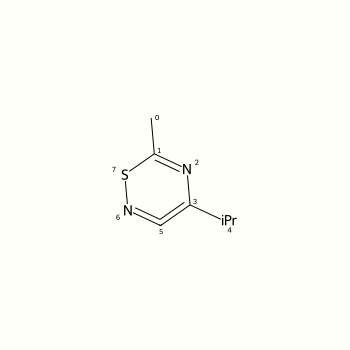 CC1=NC(C(C)C)=C=NS1